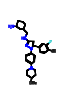 COC1CCN(c2ccc(-n3nc(NCC4CCC[C@H](N)C4)cc3-c3ccc(C#N)c(F)c3)cc2)CC1